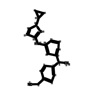 CN(c1ccc(CC#N)cc1)c1cccc(Nc2ncn(C3CC3)n2)c1